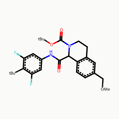 COCc1ccc2c(c1)CCN(C(=O)OC(C)(C)C)C2C(=O)Nc1cc(F)c(C(C)(C)C)c(F)c1